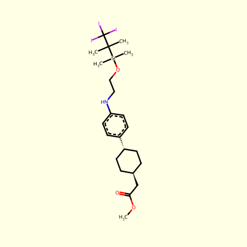 COC(=O)C[C@H]1CC[C@H](c2ccc(NCCO[Si](C)(C)C(C)(C)C(I)(I)I)cc2)CC1